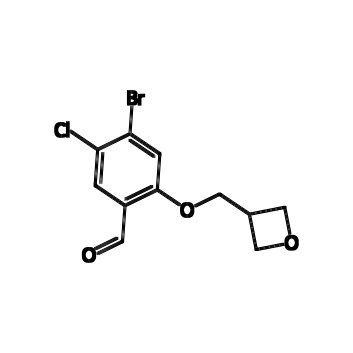 O=Cc1cc(Cl)c(Br)cc1OCC1COC1